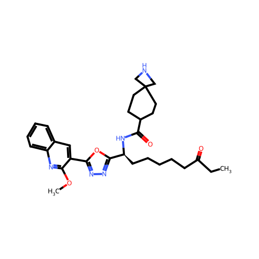 CCC(=O)CCCCC[C@H](NC(=O)C1CCC2(CC1)CNC2)c1nnc(-c2cc3ccccc3nc2OC)o1